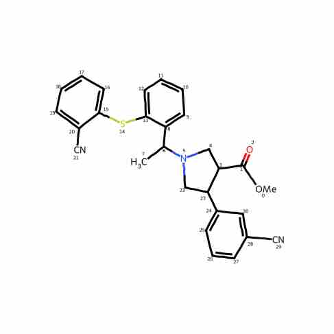 COC(=O)C1CN(C(C)c2ccccc2Sc2ccccc2C#N)CC1c1cccc(C#N)c1